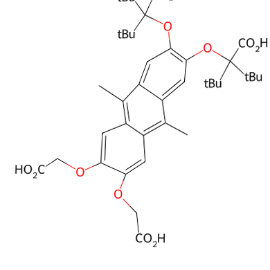 Cc1c2cc(OCC(=O)O)c(OCC(=O)O)cc2c(C)c2cc(OC(C(=O)O)(C(C)(C)C)C(C)(C)C)c(OC(C(=O)O)(C(C)(C)C)C(C)(C)C)cc12